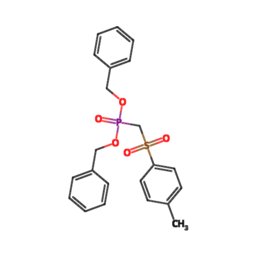 Cc1ccc(S(=O)(=O)CP(=O)(OCc2ccccc2)OCc2ccccc2)cc1